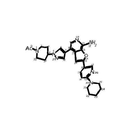 CC(=O)N1CCC(n2cc(-c3cnc(N)c4oc(-c5ccc(N6CCCCC6)nc5)cc34)cn2)CC1